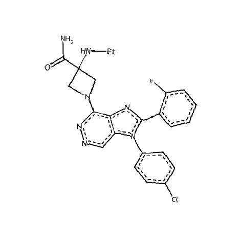 CCNC1(C(N)=O)CN(c2nncc3c2nc(-c2ccccc2F)n3-c2ccc(Cl)cc2)C1